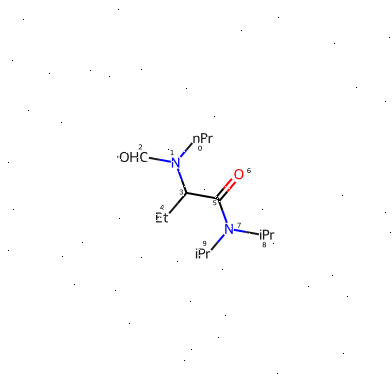 CCCN([C]=O)C(CC)C(=O)N(C(C)C)C(C)C